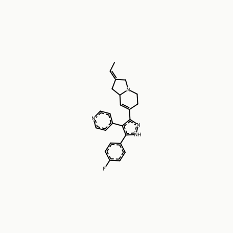 CC=C1CC2C=C(c3n[nH]c(-c4ccc(F)cc4)c3-c3ccncc3)CCN2C1